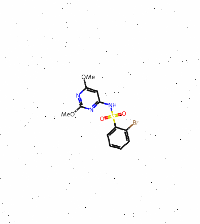 COc1cc(NS(=O)(=O)c2ccccc2Br)nc(OC)n1